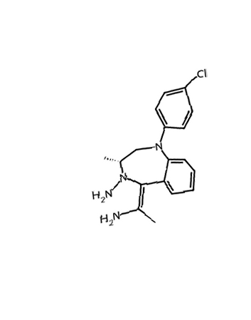 C/C(N)=C1\c2ccccc2N(c2ccc(Cl)cc2)C[C@@H](C)N1N